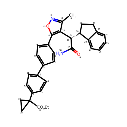 CCOC(=O)C1(c2ccc(-c3ccc(-c4onc(C)c4[C@@H](C(N)=O)C4CCc5ccccc54)cc3)cc2)CC1